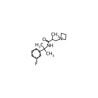 CC(CN1CCC1)C(=O)NC(C)(C)c1cccc(F)c1